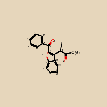 COC(=O)[C@H](C)c1c(C(=O)c2ccccc2)oc2ccccc12